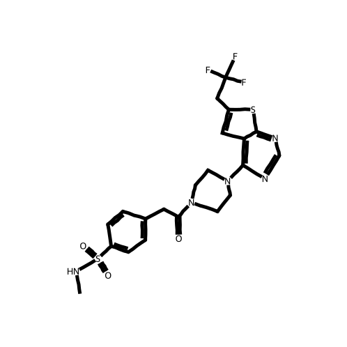 CNS(=O)(=O)c1ccc(CC(=O)N2CCN(c3ncnc4sc(CC(F)(F)F)cc34)CC2)cc1